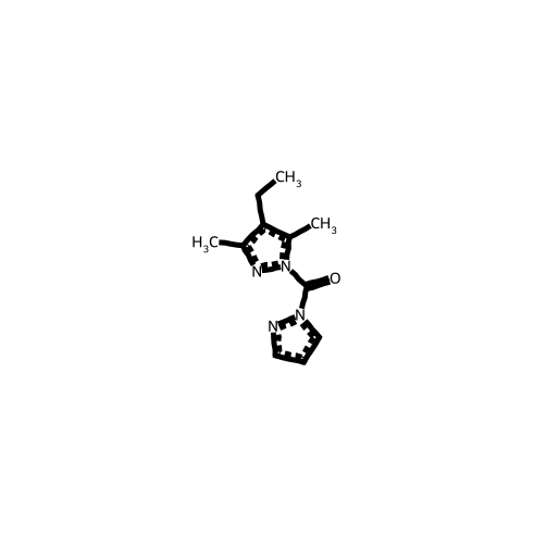 CCc1c(C)nn(C(=O)n2cccn2)c1C